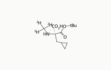 [2H]C([2H])([2H])N[C@@](CC1CC1)(C(=O)O)C(=O)OC(C)(C)C